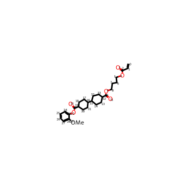 C=CC(=O)OCCCCOC(=O)C1CCC(C2CCC(C(=O)Oc3ccccc3OC)CC2)CC1